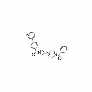 O=C(c1ccccc1)N1CCN(C2CN(C(=O)c3ccc(-c4cccnc4)cc3)C2)CC1